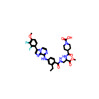 CCc1cc(Nc2nccn3c(-c4ccc(OC)c(F)c4F)cnc23)ccc1C(=O)NCC(NC(=O)C1CCN(C(=O)O)CC1)C(=O)OC